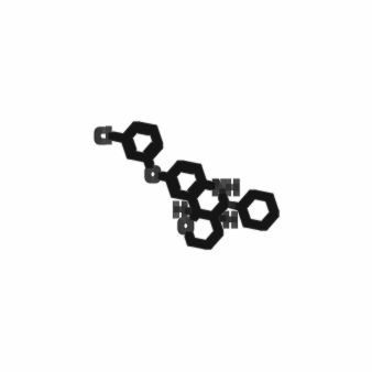 Clc1cccc(Oc2ccc3c(c2)[C@H]2OCCC[C@H]2[C@H](C2CCCCC2)N3)c1